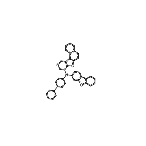 c1ccc(-c2ccc(N(c3ccc4c(c3)oc3ccccc34)c3cncc4c3oc3ccc5ccccc5c34)cc2)cc1